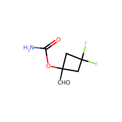 NC(=O)OC1(C=O)CC(F)(F)C1